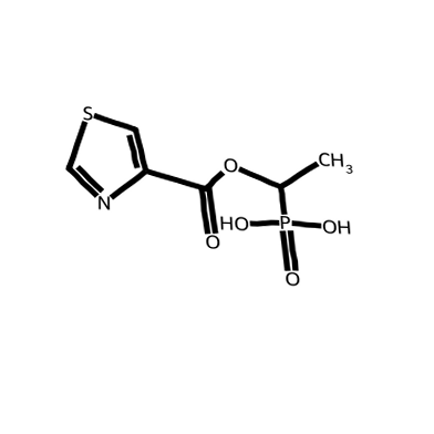 CC(OC(=O)c1cscn1)P(=O)(O)O